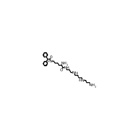 NCCCNCCCCNCCCNC(=O)[C@H](N)CCCCNC(=O)C(c1ccccc1)c1ccccc1